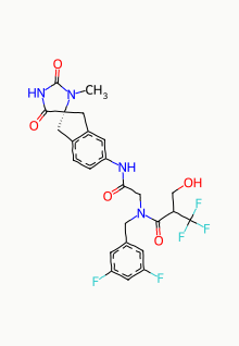 CN1C(=O)NC(=O)[C@@]12Cc1ccc(NC(=O)CN(Cc3cc(F)cc(F)c3)C(=O)C(CO)C(F)(F)F)cc1C2